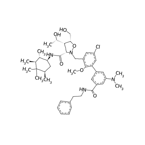 COc1c(CN2O[C@@H](CO)[C@@H]([C@H](C)O)[C@H]2C(=O)N[C@H]2C[C@@H](C)C(C)(C)[C@@H](C)[C@@H]2C)cc(Cl)cc1-c1cc(C(=O)NCCc2ccccc2)cc(N(C)C)c1